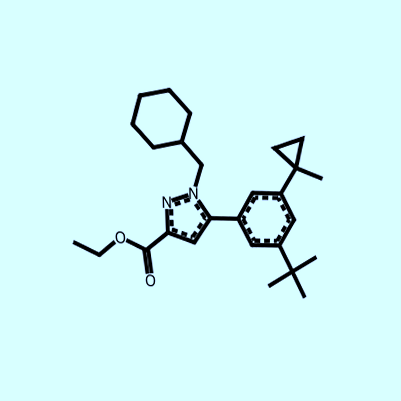 CCOC(=O)c1cc(-c2cc(C(C)(C)C)cc(C3(C)CC3)c2)n(CC2CCCCC2)n1